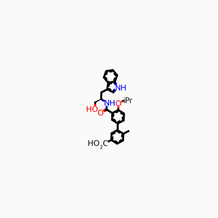 Cc1ccc(C(=O)O)cc1-c1ccc(OC(C)C)c(C(=O)N[C@@H](CO)Cc2c[nH]c3ccccc23)c1